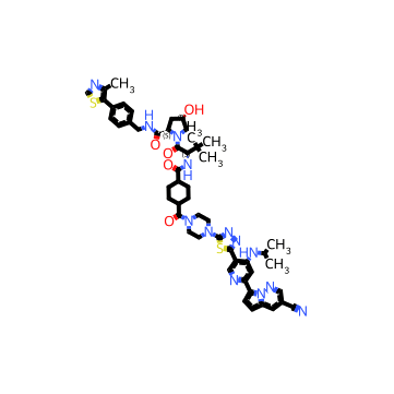 Cc1ncsc1-c1ccc(CNC(=O)[C@@H]2C[C@@H](O)CN2C(=O)[C@@H](NC(=O)C2CCC(C(=O)N3CCN(c4nnc(-c5cnc(-c6ccc7cc(C#N)cnn67)cc5NC(C)C)s4)CC3)CC2)C(C)(C)C)cc1